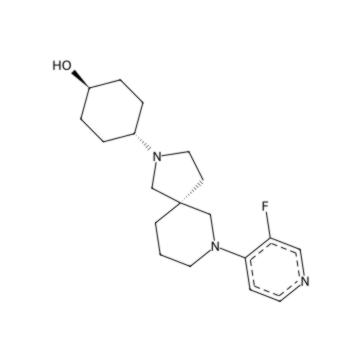 O[C@H]1CC[C@H](N2CC[C@]3(CCCN(c4ccncc4F)C3)C2)CC1